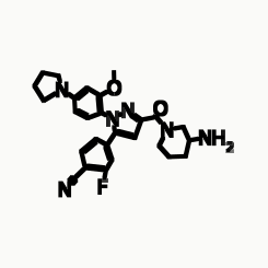 COc1cc(N2CCCC2)ccc1-n1nc(C(=O)N2CCCC(N)C2)cc1-c1ccc(C#N)c(F)c1